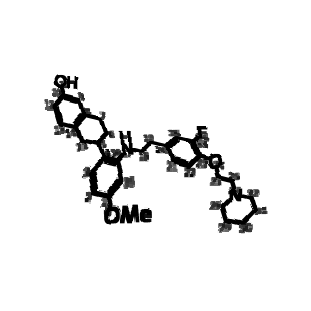 COc1ccc(C2CCc3cc(O)ccc3C2)c(NCCc2ccc(OCCN3CCCCC3)c(F)c2)c1